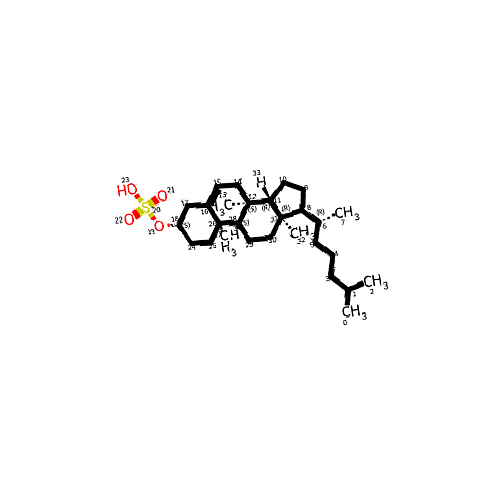 CC(C)CCC[C@@H](C)C1CC[C@H]2[C@]3(C)CC=C4C[C@@H](OS(=O)(=O)O)CC[C@]4(C)[C@H]3CC[C@]12C